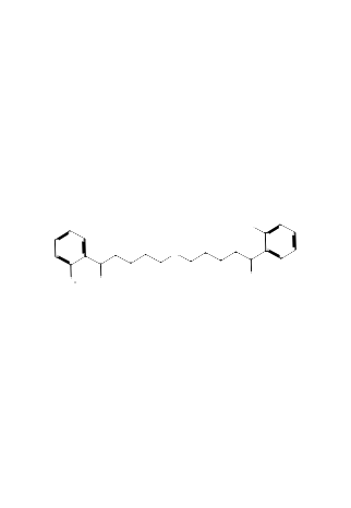 Oc1ccccc1C(Br)CCCCSCCCCC(Br)c1ccccc1O